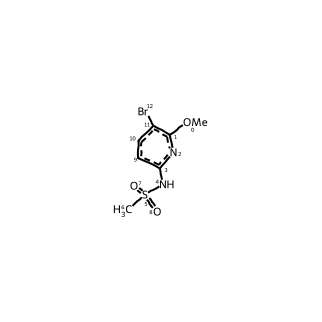 COc1nc(NS(C)(=O)=O)ccc1Br